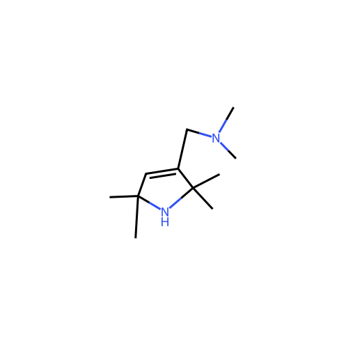 CN(C)CC1=CC(C)(C)NC1(C)C